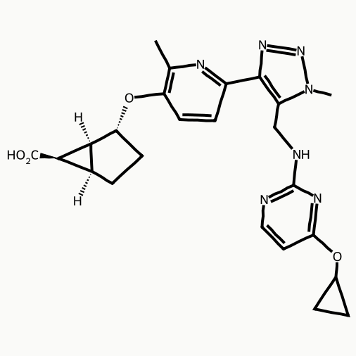 Cc1nc(-c2nnn(C)c2CNc2nccc(OC3CC3)n2)ccc1O[C@@H]1CC[C@H]2[C@@H](C(=O)O)[C@H]21